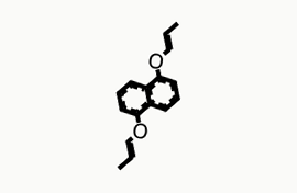 CC=COc1cccc2c(OC=CC)cccc12